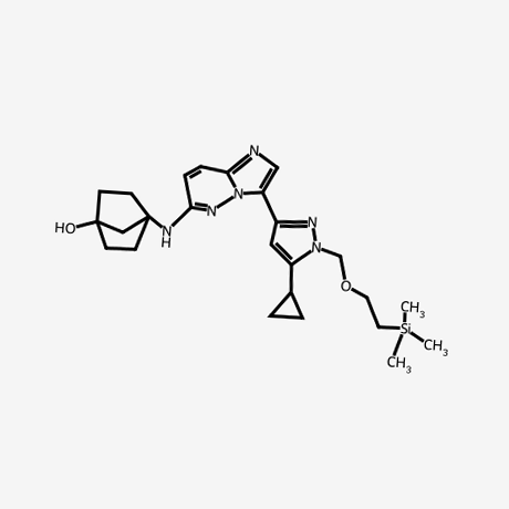 C[Si](C)(C)CCOCn1nc(-c2cnc3ccc(NC45CCC(O)(CC4)C5)nn23)cc1C1CC1